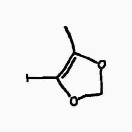 CC1=C(I)OCO1